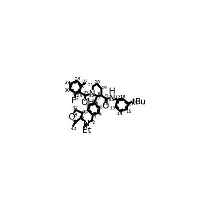 CCN(Cc1ccc(C2C(C(=O)Nc3cccc(C(C)(C)C)c3)CCCN2C(O)c2c(C)cccc2F)cc1)C1CCOC1C